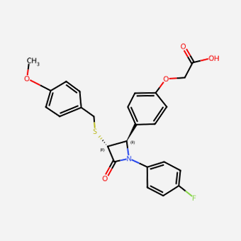 COc1ccc(CS[C@H]2C(=O)N(c3ccc(F)cc3)[C@@H]2c2ccc(OCC(=O)O)cc2)cc1